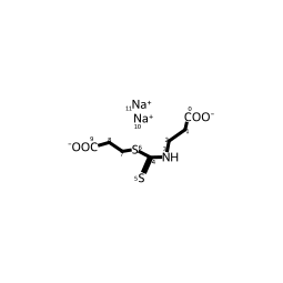 O=C([O-])CCNC(=S)SCCC(=O)[O-].[Na+].[Na+]